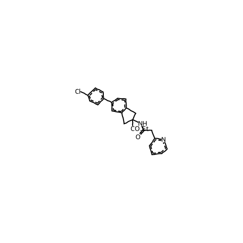 CCOC(=O)C1(NC(=O)Cc2ccccn2)Cc2ccc(-c3ccc(Cl)cc3)cc2C1